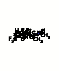 CCn1c(COC(C)/C(C)=C/N=C(\C)Cl)nc(=O)c(-c2cccc(C(F)(F)F)c2)c1C